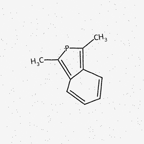 CC1=c2ccccc2=C(C)[P]1